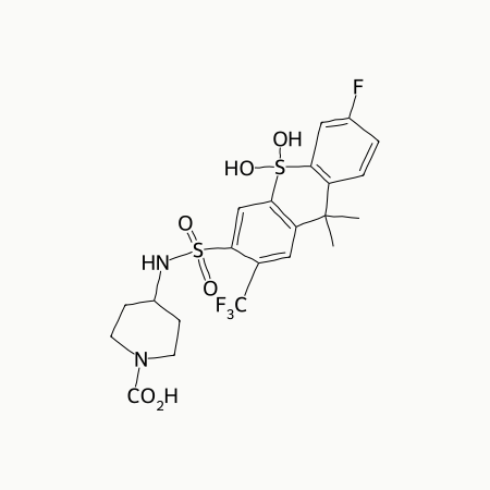 CC1(C)c2ccc(F)cc2S(O)(O)c2cc(S(=O)(=O)NC3CCN(C(=O)O)CC3)c(C(F)(F)F)cc21